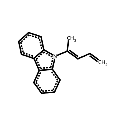 C=C/C=C(\C)n1c2ccccc2c2ccccc21